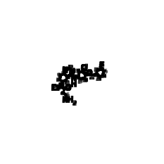 CCN(C(=O)CCN)c1ccc2ncnc(Nc3ccc(OCc4cccc(F)c4)c(Cl)c3)c2c1